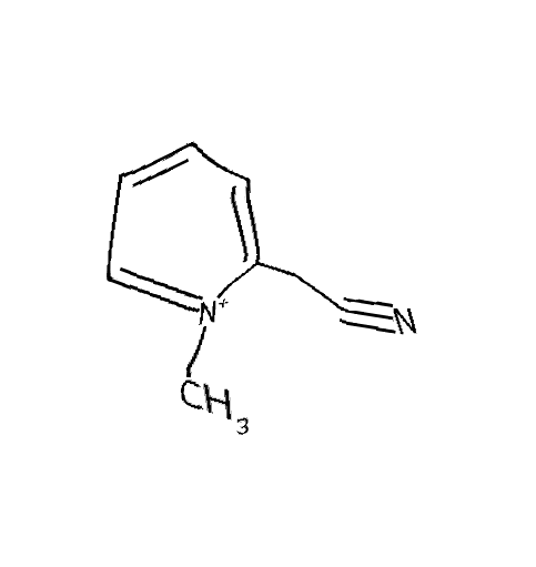 C[n+]1ccccc1C#N